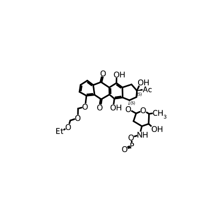 CCOCOCOc1cccc2c1C(=O)c1c(O)c3c(c(O)c1C2=O)C[C@@](O)(C(C)=O)C[C@@H]3OC1CC(NOP=O)C(O)C(C)O1